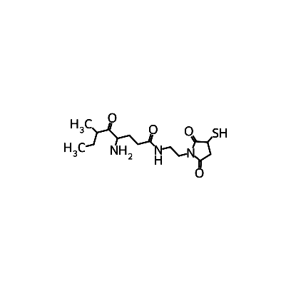 CCC(C)C(=O)C(N)CCC(=O)NCCN1C(=O)CC(S)C1=O